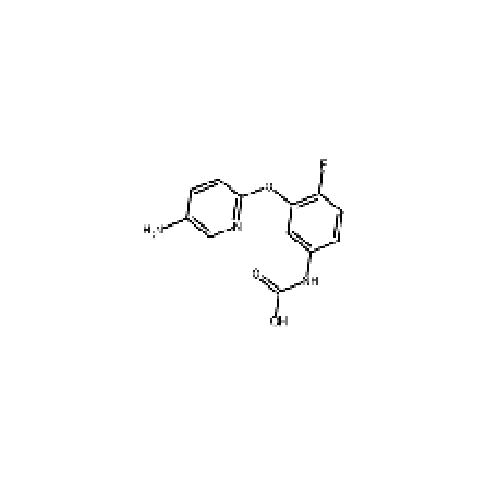 Nc1ccc(Oc2cc(NC(=O)O)ccc2F)nc1